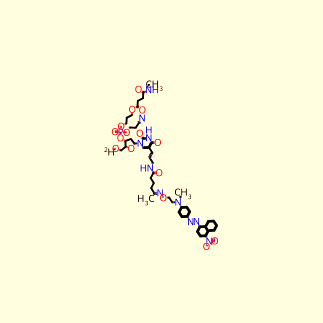 [2H]OCC1OC(n2cc(/C=C/CNC(=O)CCC/C(C)=N/OCCN(CC)c3ccc(/N=N/c4ccc([N+](=O)[O-])c5ccccc45)cc3)c(=O)[nH]c2=O)CC1OP(=O)(OCCC#N)OCCCOC(=O)CCC(=O)NC